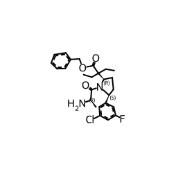 CCC(CC)(C(=O)OCc1ccccc1)[C@H]1CC[C@@H](c2cc(F)cc(Cl)c2)N1C(=O)[C@@H](C)N